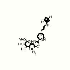 CSC1O[C@H]([C@H](NC(=O)[C@@H]2CC[C@H](CCCNC3C[C@H]4C[C@H]3C4)CCN2)[C@H](C)Cl)C(O)C(O)[C@H]1O